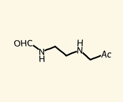 CC(=O)CNCCNC=O